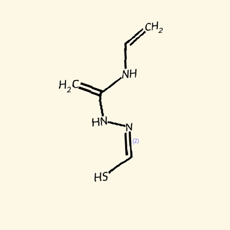 C=CNC(=C)N/N=C\S